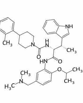 Cc1ccccc1C1CCN(C(=O)N[C@@H](C(=O)Nc2cc(CN(C)C)ccc2OC(C)C)[C@@H](C)c2c[nH]c3ccccc23)CC1